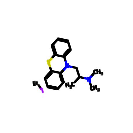 CC(CN1c2ccccc2Sc2ccccc21)N(C)C.CCI